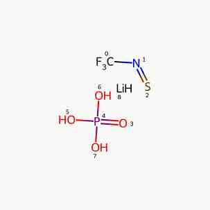 FC(F)(F)N=S.O=P(O)(O)O.[LiH]